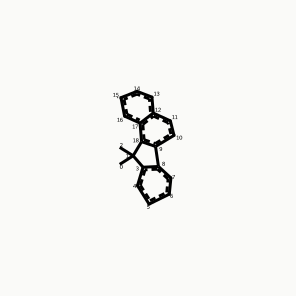 CC1(C)c2ccccc2-c2ccc3cc[c]cc3c21